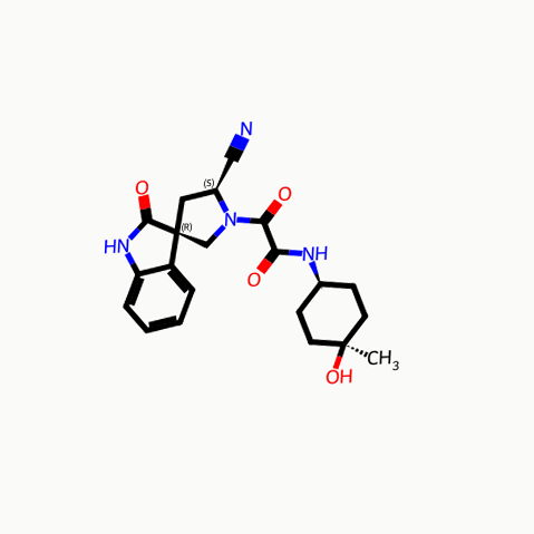 C[C@]1(O)CC[C@@H](NC(=O)C(=O)N2C[C@]3(C[C@H]2C#N)C(=O)Nc2ccccc23)CC1